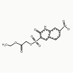 CCOC(=O)COS(=O)(=O)c1cc2ccc([N+](=O)[O-])cc2[nH]c1=O